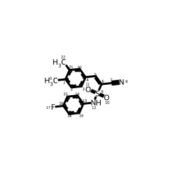 Cc1ccc(C=C(C#N)S(=O)(=O)Nc2ccc(F)cc2)cc1C